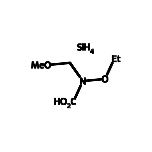 CCON(COC)C(=O)O.[SiH4]